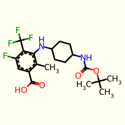 Cc1c(C(=O)O)cc(F)c(C(F)(F)F)c1NC1CCC(NC(=O)OC(C)(C)C)CC1